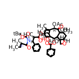 C/C=C(\C)C(=O)N(C(=O)OC(C)(C)C)[C@@H](c1ccccc1)[C@@H](C)C(=O)O[C@H]1C[C@@]2(O)[C@@H](OC(=O)c3ccccc3)[C@@H]3[C@]4(OC(C)=O)CO[C@@H]4C[C@H](C)[C@@]3(C)C(=O)[C@H](OC(C)=O)C(=C1C)C2(C)C